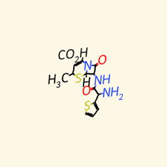 CC1C=C(C(=O)O)N2C(=O)C(NC(=O)C(N)c3cccs3)[C@@H]2S1